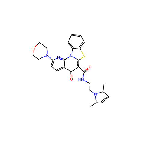 CC1C=CC(C)N1CCNC(=O)c1c(=O)c2ccc(N3CCOCC3)nc2n2c1sc1ccccc12